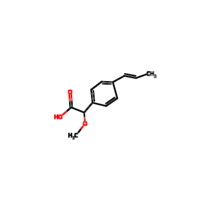 CC=Cc1ccc(C(OC)C(=O)O)cc1